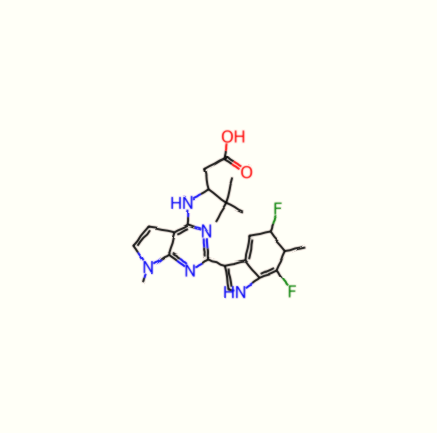 CC1C(F)=c2[nH]cc(-c3nc(NC(CC(=O)O)C(C)(C)C)c4ccn(C)c4n3)c2=CC1F